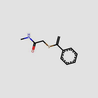 C=C(SCC(=O)NC)c1ccccc1